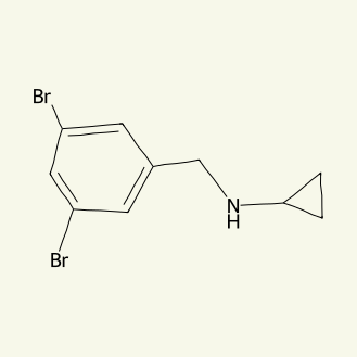 Brc1cc(Br)cc(CNC2CC2)c1